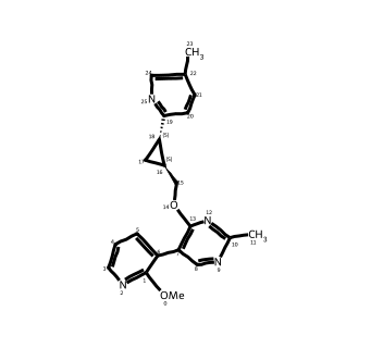 COc1ncccc1-c1cnc(C)nc1OC[C@H]1C[C@@H]1c1ccc(C)cn1